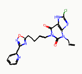 C=CCn1c(=O)n(CCCCc2nc(-c3ccccn3)no2)c(=O)c2[nH]c(Cl)nc21